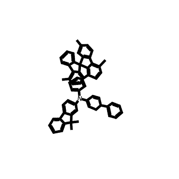 Cc1ccc2c(c1)C1(c3ccccc3-c3c(C)cccc31)c1c(-c3cccc(N(C4=CCC(c5ccccc5)C=C4)c4ccc5c(c4)C(C)(C)c4ccccc4-5)c3)ccc(C)c1-2